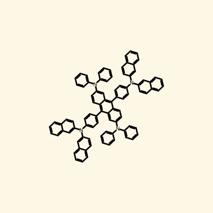 c1ccc(N(c2ccccc2)c2ccc3c(-c4ccc(N(c5ccc6ccccc6c5)c5ccc6ccccc6c5)cc4)c4cc(N(c5ccccc5)c5ccccc5)ccc4c(-c4ccc(N(c5ccc6ccccc6c5)c5ccc6ccccc6c5)cc4)c3c2)cc1